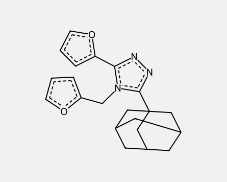 c1coc(Cn2c(-c3ccco3)nnc2C23CC4CC(CC(C4)C2)C3)c1